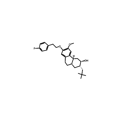 COc1cc2c(cc1OCCc1ccc(F)cc1)CCN1C[C@@H](CC(C)(C)C)[C@H](O)C[C@H]21